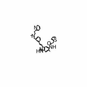 Cc1cc2[nH]nc(C=Cc3cccc(CN(C)CCc4ccccn4)c3)c2cc1NC(=O)Cc1cccs1